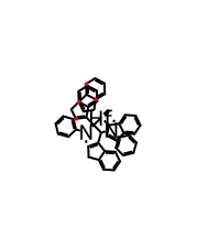 [CH2]=[Hf]([CH]1C=Cc2ccccc21)([CH]1C=Cc2ccccc21)[C](C1=CCc2ccccc21)(C(C1=CCc2ccccc21)N(C)c1ccccc1)N(C)c1ccccc1